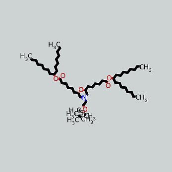 CCCCCCCCC(CCCCCCCC)OC(=O)CCCCCC1CN(CCO[Si](C)(C)C(C)(C)C)CC(CCCCCC(=O)OC(CCCCCCCC)CCCCCCCC)O1